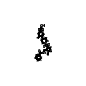 Cc1cc2nc(O)nn2cc1C1CCN(S(=O)(=O)c2cnn(C)c2CNC(=O)c2ccccn2)CC1